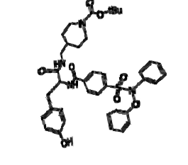 CC(C)(C)OC(=O)N1CCC(CNC(=O)C(Cc2ccc(O)cc2)NC(=O)c2ccc(S(=O)(=O)N(Oc3ccccc3)c3ccccc3)cc2)CC1